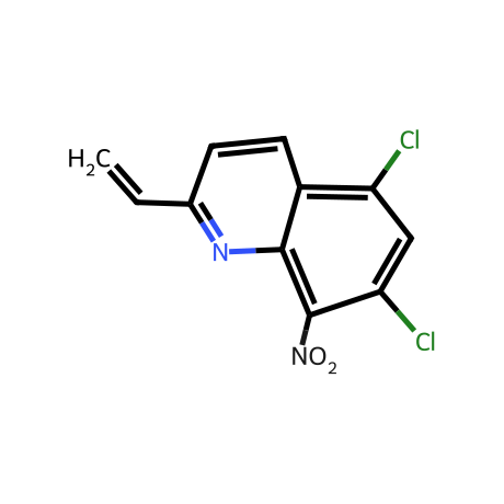 C=Cc1ccc2c(Cl)cc(Cl)c([N+](=O)[O-])c2n1